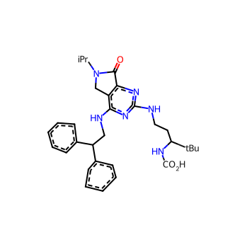 CC(C)N1Cc2c(NCC(c3ccccc3)c3ccccc3)nc(NCCC(NC(=O)O)C(C)(C)C)nc2C1=O